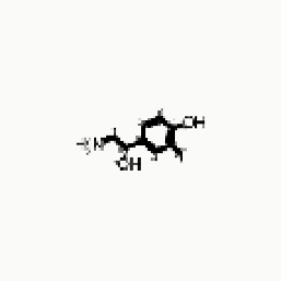 NC[C@H](O)c1ccc(O)c(F)c1